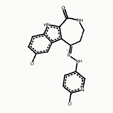 O=C1NCC/C(=N\Nc2ccc(Cl)nc2)c2c1[nH]c1ccc(Cl)cc21